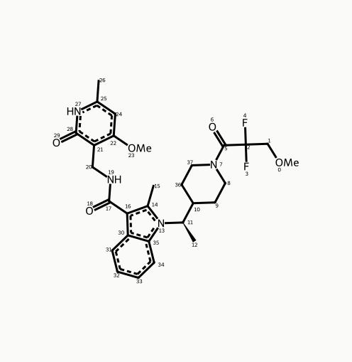 COCC(F)(F)C(=O)N1CCC([C@@H](C)n2c(C)c(C(=O)NCc3c(OC)cc(C)[nH]c3=O)c3ccccc32)CC1